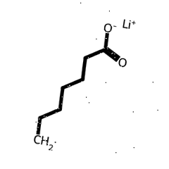 [CH2]CCCCCC(=O)[O-].[Li+]